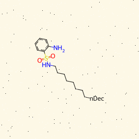 CCCCCCCCCCCCCCCCCCNS(=O)(=O)c1ccccc1N